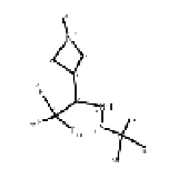 CN1CC(C(NSC(C)(C)C)C(F)(F)F)C1